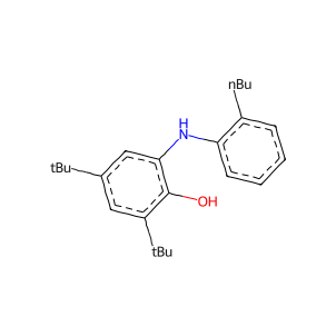 CCCCc1ccccc1Nc1cc(C(C)(C)C)cc(C(C)(C)C)c1O